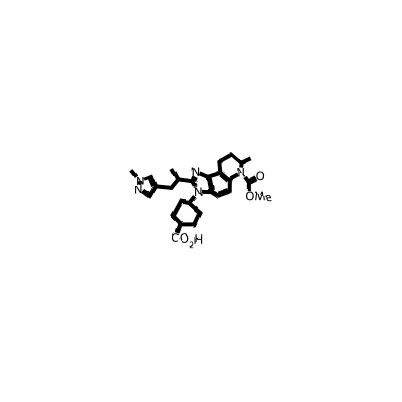 COC(=O)N1c2ccc3c(nc(C(C)Cc4cnn(C)c4)n3C3CCC(C(=O)O)CC3)c2CCC1C